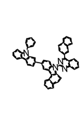 c1ccc(-n2c3ccccc3c3ccc(-c4ccc5c(c4)c4c6ccccc6ccc4n5-c4nc(-c5ccc6ccccc6c5)c5ccccc5n4)cc32)cc1